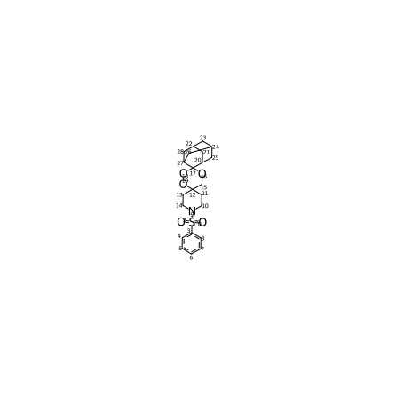 O=S(=O)(c1ccccc1)N1CCC2(CC1)COC1(OO2)C2CC3CC(C2)CC1C3